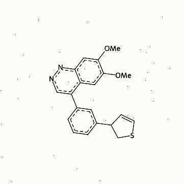 COc1cc2nncc(-c3cccc(C4C=CSC4)c3)c2cc1OC